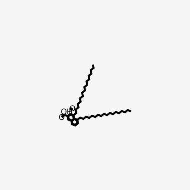 CCCCCCCCCCCCCCCCCCc1cccc2cc(C(=O)O)c(I=O)c(CCCCCCCCCCCCCCCCCC)c12